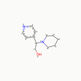 OCC(c1ccncc1)N1CCCCC1